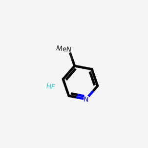 CNc1ccncc1.F